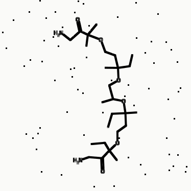 CCC(C)(CCOC(C)(C)C(=O)CN)OCC(C)OC(C)(CC)CCOC(C)(CC)C(=O)CN